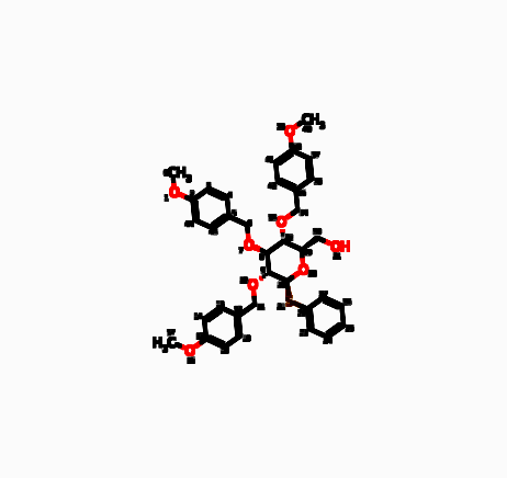 COc1ccc(CO[C@@H]2[C@@H](OCc3ccc(OC)cc3)[C@H](Sc3ccccc3)O[C@H](CO)[C@H]2OCc2ccc(OC)cc2)cc1